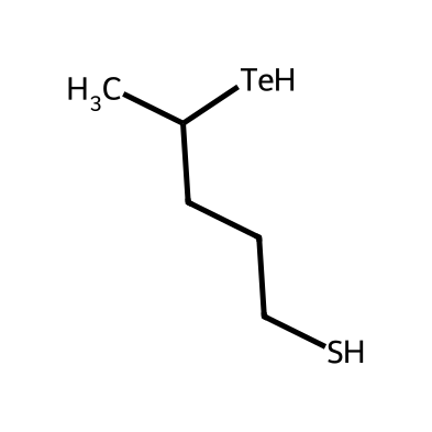 CC([TeH])CCCS